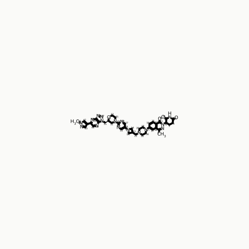 Cc1nn(C2CCC(=O)NC2=O)c(=O)c2ccc(N3CCN(CC4CN(c5cnc(N6CCO[C@H](Cn7nnc8nc(-c9cnn(C)c9)cnc87)C6)nc5)C4)CC3)cc12